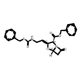 O=C(NC/C=C1\O[C@H]2CC(=O)N2[C@@H]1C(=O)OCc1ccccc1)OCc1ccccc1